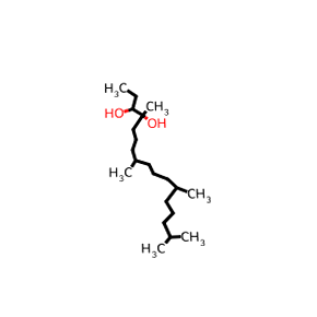 CCC(O)C(C)(O)CCCC(C)CCCC(C)CCCC(C)C